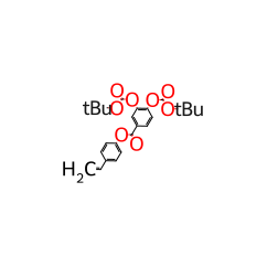 C=Cc1ccc(OC(=O)c2ccc(OC(=O)OC(C)(C)C)c(OC(=O)OC(C)(C)C)c2)cc1